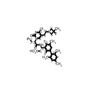 Cc1cc(C)c(-c2cc(C)c(F)c([C@H](CC(=O)O)NC(=O)[C@H](CC(C)C)n3cc(CCN4CC(C)(F)C4)c(C(F)(F)F)nc3=O)c2F)c(C)c1